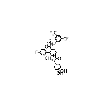 Cc1cc(F)ccc1C1CN(C(=O)CN2CCS(O)(O)CC2)CCC1C(=O)N(C)Cc1cc(C(F)(F)F)cc(C(F)(F)F)c1